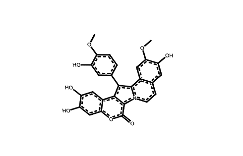 COc1ccc(-c2c3c4cc(O)c(O)cc4oc(=O)c3n3ccc4cc(O)c(OC)cc4c23)cc1O